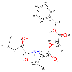 CC(C)C[C@@H](O)C(=O)N[C@@H](C(=O)O[C@@H](C)C(=O)OCc1ccccc1)C(C)C